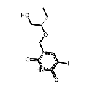 CC[C@@H](CO)OCn1cc(I)c(=O)[nH]c1=O